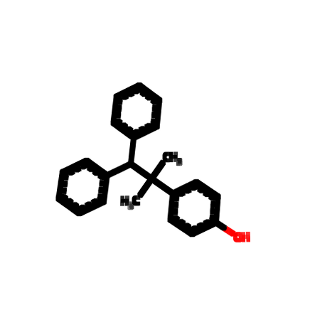 CC(C)(c1ccc(O)cc1)C(c1ccccc1)c1ccccc1